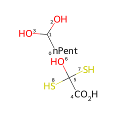 CCCCCC(O)O.O=C(O)C(O)(S)S